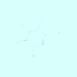 Cc1c(Cl)c(C)c(Cl)c(Cl)c1Cl